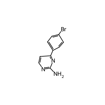 Nc1nccc(-c2ccc(Br)cc2)n1